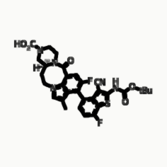 Cc1cn2c3c(cc(F)c(-c4ccc(F)c5sc(NC(=O)OC(C)(C)C)c(C#N)c45)c13)C(=O)N1CCN(C(=O)O)C[C@@H]1CC2